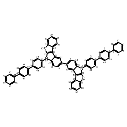 c1ccc(-c2ccc(-c3ccc(-n4c5ccc(-c6ccc7c(c6)c6c8ccccc8sc6n7-c6ccc(-c7ccc(-c8ccccc8)cc7)cc6)cc5c5c6ccccc6oc54)cc3)cc2)cc1